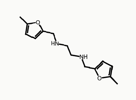 Cc1ccc(CNCCNCc2ccc(C)o2)o1